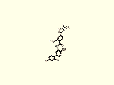 CS(C)(=O)=NC(=O)c1ccc(C(=O)Nc2cc(-c3ccc(Cl)cc3Cl)cnc2O)c(C(=O)O)c1